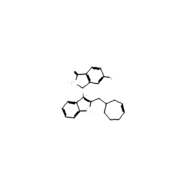 O=C1N[C@H](c2c(CC3CC=CCCC3)[nH]c3ccccc23)c2cc(O)ccc21